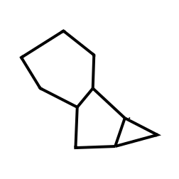 C1CCC2[C]3CC3CC2C1